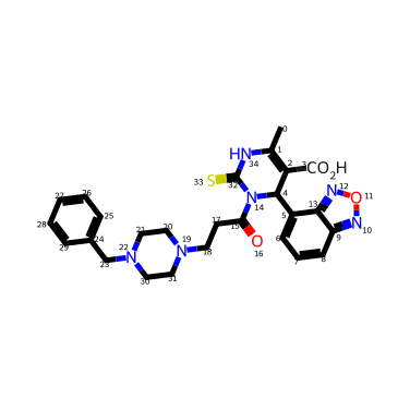 CC1=C(C(=O)O)C(c2cccc3nonc23)N(C(=O)CCN2CCN(Cc3ccccc3)CC2)C(=S)N1